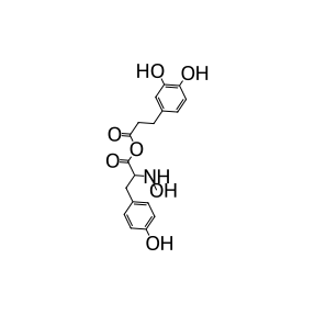 O=C(CCc1ccc(O)c(O)c1)OC(=O)C(Cc1ccc(O)cc1)NO